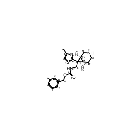 Cc1csc([C@@]2(CNC(=O)OCc3ccccc3)[C@@H]3CCNC[C@@H]32)n1